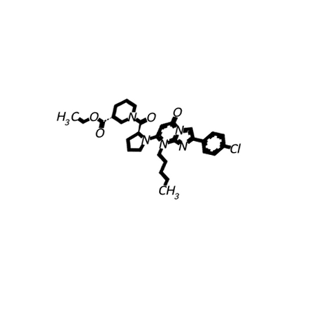 CCCCCn1c(N2CCC[C@H]2C(=O)N2CCC[C@@H](C(=O)OCC)C2)cc(=O)n2cc(-c3ccc(Cl)cc3)nc12